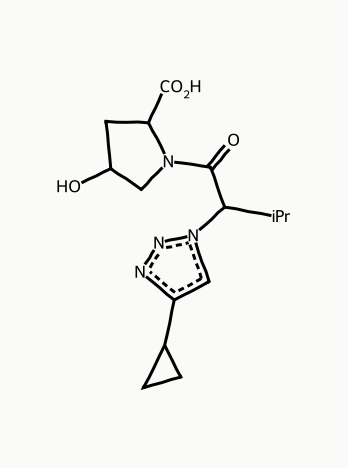 CC(C)C(C(=O)N1CC(O)CC1C(=O)O)n1cc(C2CC2)nn1